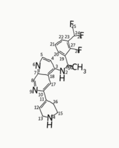 C[C@@H](Nc1ccnc2cnc(C3=CCNCC3)cc12)c1cccc(C(F)F)c1F